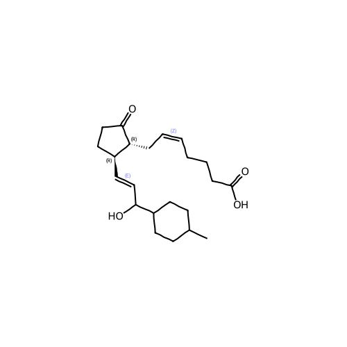 CC1CCC(C(O)/C=C/[C@H]2CCC(=O)[C@@H]2C/C=C\CCCC(=O)O)CC1